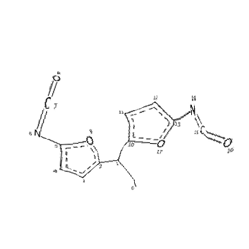 CC(c1ccc(N=C=O)o1)c1ccc(N=C=O)o1